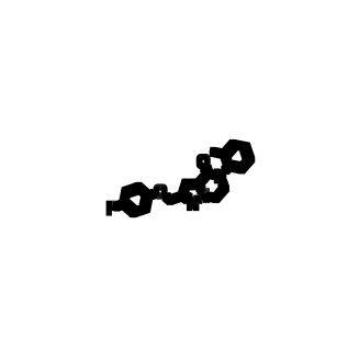 Cc1ccccc1N1CCn2nc(COc3ccc(F)cc3)cc2C1=O